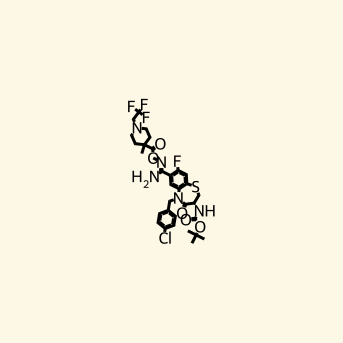 CC(C)(C)OC(=O)N[C@H]1CSc2cc(F)c(/C(N)=N/OC(=O)C3(C)CCN(CC(F)(F)F)CC3)cc2N(Cc2ccc(Cl)cc2)C1=O